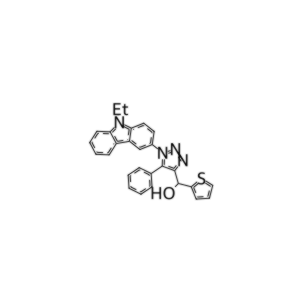 CCn1c2ccccc2c2cc(-n3nnc(C(O)c4cccs4)c3-c3ccccc3)ccc21